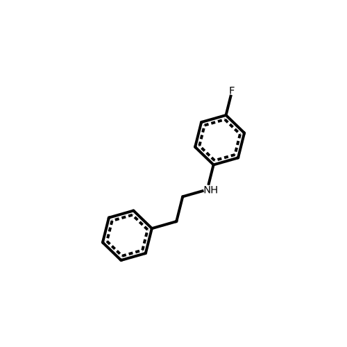 Fc1ccc(NCCc2ccccc2)cc1